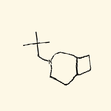 CC(C)(C)CN1CCC2CCC2C1